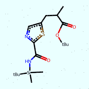 CC(Cc1cnc(C(=O)N[Si](C)(C)C(C)(C)C)s1)C(=O)OC(C)(C)C